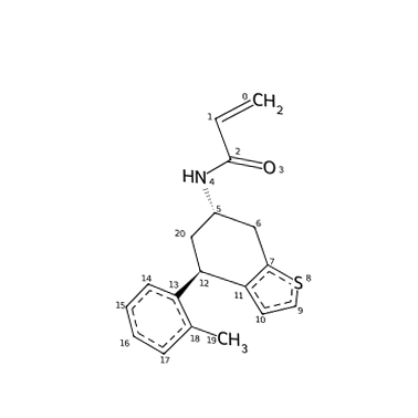 C=CC(=O)N[C@@H]1Cc2sccc2[C@@H](c2ccccc2C)C1